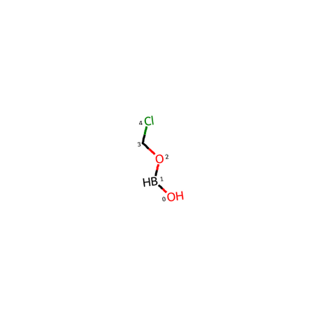 OBOCCl